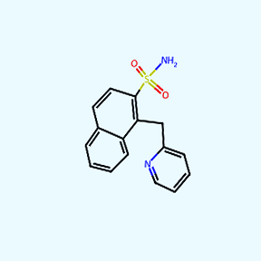 NS(=O)(=O)c1ccc2ccccc2c1Cc1ccccn1